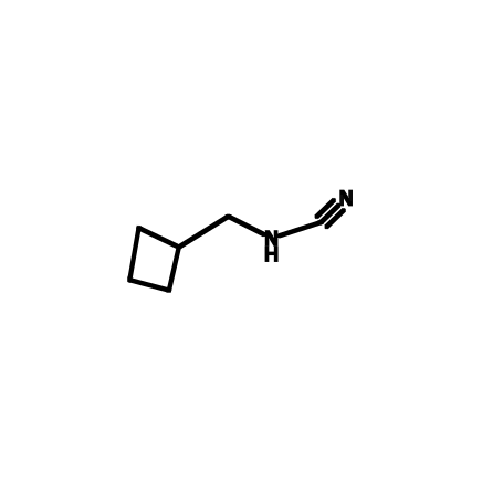 N#CNCC1CCC1